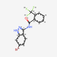 O=C(Nc1n[nH]c2cc(Br)ccc12)c1ccccc1C(F)(F)F